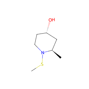 CSN1CC[C@H](O)C[C@H]1C